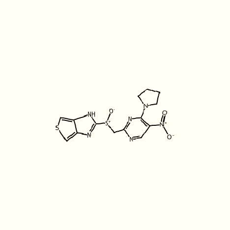 O=[N+]([O-])c1cnc(C[S+]([O-])c2nc3cscc3[nH]2)nc1N1CCCC1